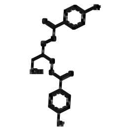 [CH2]CCCCCCCCCC[C](OOC(=O)c1ccc(C(C)C)cc1)OOC(=O)c1ccc(C(C)C)cc1